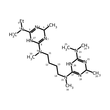 CCN(C)C1=NC(C)N=C(N(C)CCCCN(C)C2=NC(C)N=C(N(C)C)N2)N1